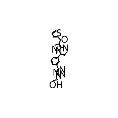 O=C(c1cccs1)c1cnn2c(-c3cccc(-c4nnn(CCO)n4)c3)ccnc12